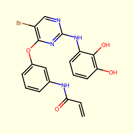 C=CC(=O)Nc1cccc(Oc2nc(Nc3cccc(O)c3O)ncc2Br)c1